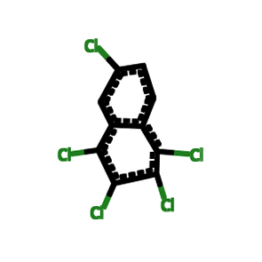 Clc1ccc2c(Cl)c(Cl)c(Cl)c(Cl)c2c1